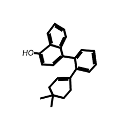 CC1(C)CC=C(c2ccccc2-c2ccc(O)c3ccccc23)CC1